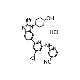 CC(C)c1nc2ccc(-c3cc(C4CC4)cc(Nc4cc(C#N)ccn4)n3)cc2n1C1CCC(O)CC1.Cl